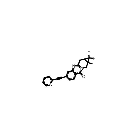 CC12Cn3c(nc4cc(C#Cc5ccccn5)ccc4c3=O)CC1C2(F)F